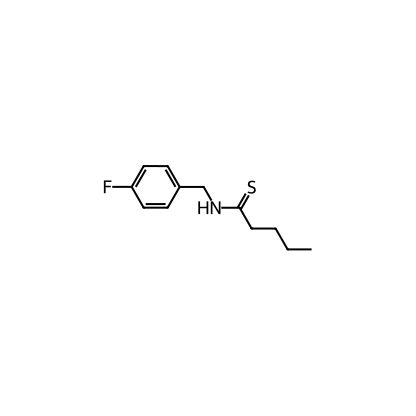 CCCCC(=S)NCc1ccc(F)cc1